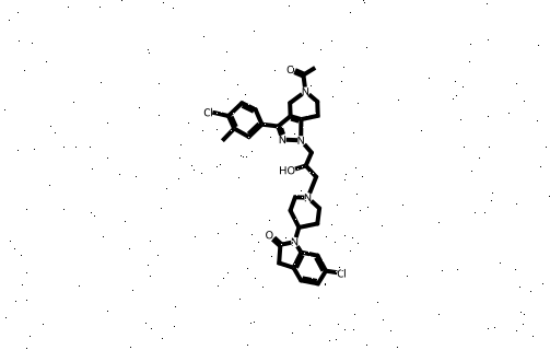 CC(=O)N1CCc2c(c(-c3ccc(Cl)c(C)c3)nn2CC(O)CN2CCC(N3C(=O)Cc4ccc(Cl)cc43)CC2)C1